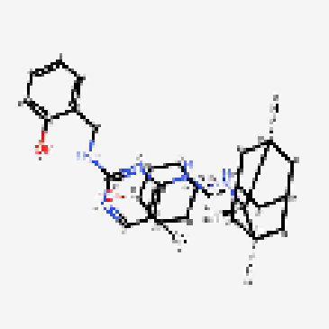 N#Cc1cnc(NCc2ccccc2O)nc1NC[C@@]12CC3C[C@H](C1)[C@@H](N[C@H]1CC[C@@H](O)CC1)[C@@H](C3)C2